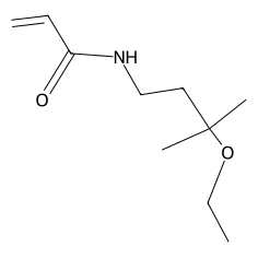 C=CC(=O)NCCC(C)(C)OCC